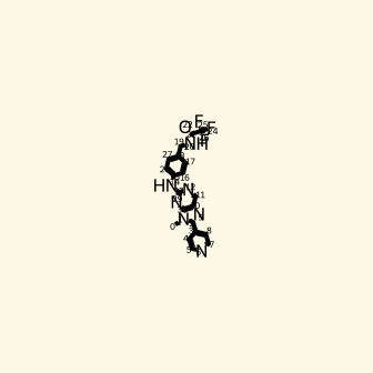 Cn1c(-c2ccncc2)nc2cnc(Nc3ccc(CNC(=O)C(F)(F)F)cc3)nc21